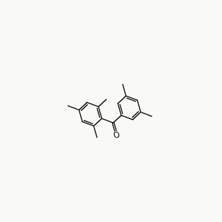 Cc1cc(C)cc(C(=O)c2c(C)cc(C)cc2C)c1